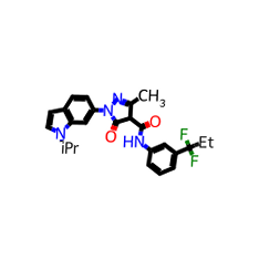 CCC(F)(F)c1cccc(NC(=O)C2C(=O)N(c3ccc4ccn(C(C)C)c4c3)N=C2C)c1